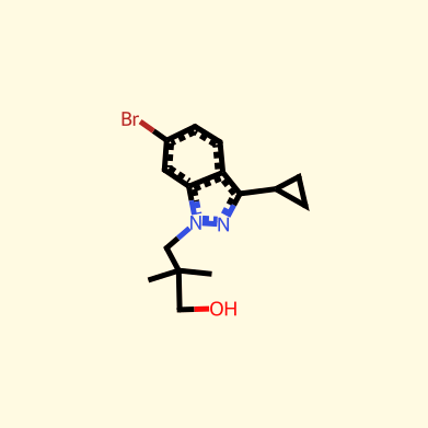 CC(C)(CO)Cn1nc(C2CC2)c2ccc(Br)cc21